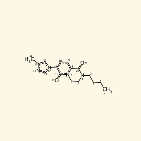 CCCCN1CCn2c(ccc(-n3cnc(C)c3)c2=O)C1=O